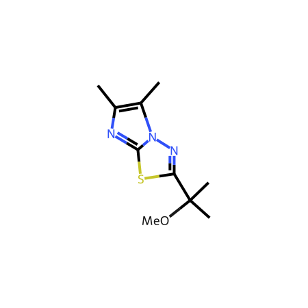 COC(C)(C)c1nn2c(C)c(C)nc2s1